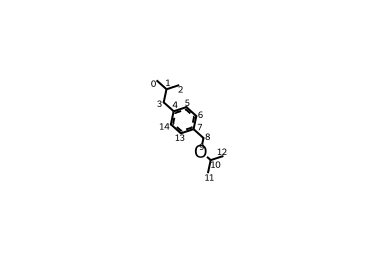 CC(C)Cc1ccc(COC(C)C)cc1